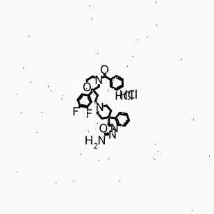 Cl.Cl.Nc1nnc(C2(c3ccccc3)CCN(CCC3(c4ccc(F)c(F)c4)CN(C(=O)c4ccccc4)CCO3)CC2)o1